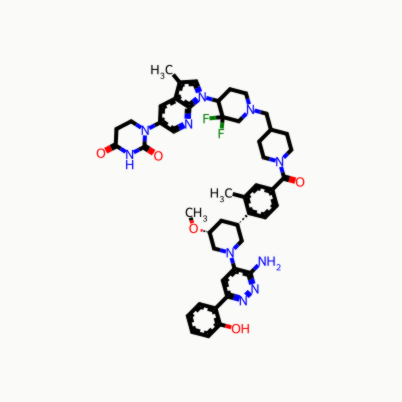 CO[C@@H]1C[C@H](c2ccc(C(=O)N3CCC(CN4CCC(n5cc(C)c6cc(N7CCC(=O)NC7=O)cnc65)C(F)(F)C4)CC3)cc2C)CN(c2cc(-c3ccccc3O)nnc2N)C1